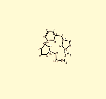 NC1CCN(Cc2ccccc2)C1.NCCN1CCCCC1